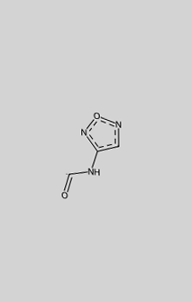 O=[C]Nc1cnon1